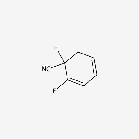 N#CC1(F)CC=CC=C1F